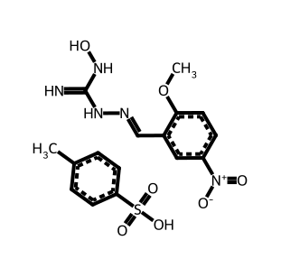 COc1ccc([N+](=O)[O-])cc1C=NNC(=N)NO.Cc1ccc(S(=O)(=O)O)cc1